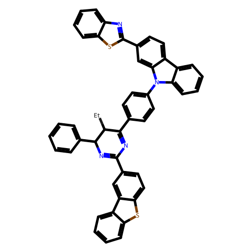 CCC1C(c2ccc(-n3c4ccccc4c4ccc(-c5nc6ccccc6s5)cc43)cc2)=NC(c2ccc3sc4ccccc4c3c2)=NC1c1ccccc1